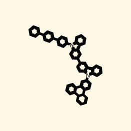 C1=CC2c3ccccc3-c3cc(-n4c5ccccc5c5cc(-c6ccc7c(c6)c6ccccc6n7-c6ccc(-c7ccc(-c8ccccc8)cc7)cc6)ccc54)ccc3C2C=C1